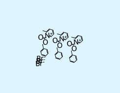 Cc1cccc[n+]1C(=O)OCc1ccccc1.Cc1cccc[n+]1C(=O)OCc1ccccc1.Cc1cccc[n+]1C(=O)OCc1ccccc1.[Br-].[Br-].[Br-]